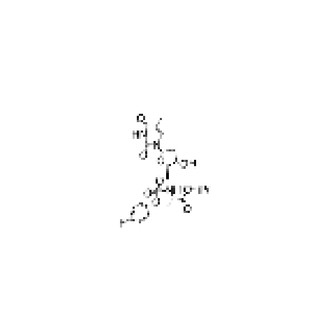 Cc1cn([C@H]2C[C@@H](O)[C@@H](COP(=O)(N[C@@H](C)C(=O)OC(C)C)Oc3ccc(F)cc3)O2)c(=O)[nH]c1=O